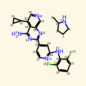 CC1CCCN1.Nc1nc(-c2ccnc(Nc3c(F)cccc3F)c2)nc2cncc(C3CC3)c12